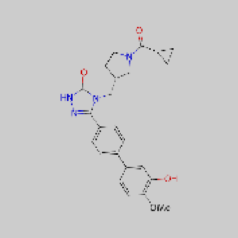 COc1ccc(-c2ccc(-c3n[nH]c(=O)n3C[C@@H]3CCN(C(=O)C4CC4)C3)cc2)cc1O